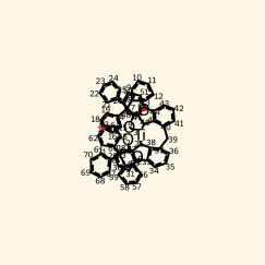 O=C([O][Ti]1([O]C(=O)C(c2ccccc2)(c2ccccc2)c2ccccc2)[CH]2c3ccccc3-c3cccc(c32)Cc2cccc3c2[CH]1c1ccccc1-3)C(c1ccccc1)(c1ccccc1)c1ccccc1